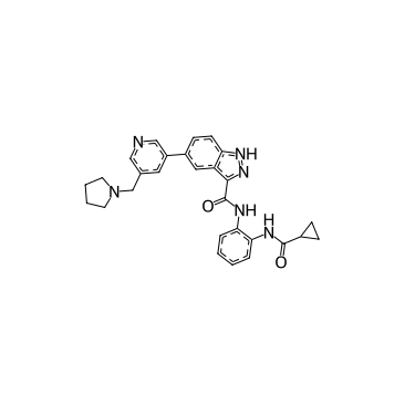 O=C(Nc1ccccc1NC(=O)C1CC1)c1n[nH]c2ccc(-c3cncc(CN4CCCC4)c3)cc12